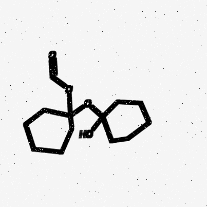 O=COC1(OC2(O)CCCCC2)CCCCC1